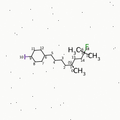 C[C@@H](CCCCC1CCC(I)CC1)CCC(C)(C)F